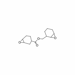 O=C(OCC1CCCC2OC12)C1CCC2OC2C1